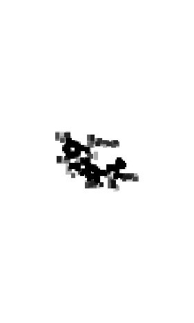 COc1cc2nc(C)nc(N[C@H](C)c3cc(N)cc(C(F)(F)F)c3)c2cc1OCC1([C@H](C)OC)CC1.O=CO